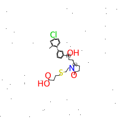 Cc1cc(Cl)ccc1-c1cccc([C@H](O)CC[C@H]2CCC(=O)N2CCSCCCC(=O)O)c1